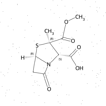 COC(=O)[C@]1(C)S[C@@H]2CC(=O)N2[C@H]1C(=O)O